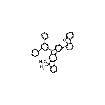 CC1(C)c2ccccc2-c2cc3c4cc(-c5cccc6c5oc5ccccc56)ccc4n(-c4cc(-c5ccccc5)cc(-c5ccccc5)c4)c3cc21